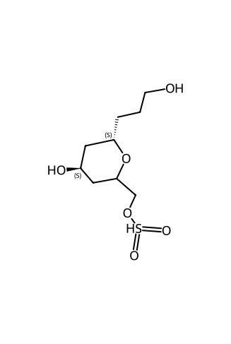 O=[SH](=O)OCC1C[C@@H](O)C[C@H](CCCO)O1